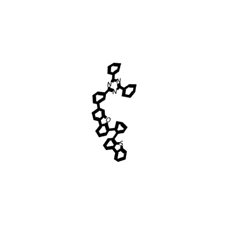 c1ccc(-c2nc(-c3ccccc3)nc(-c3cccc(-c4ccc5c(c4)oc4c(-c6ccccc6-c6cccc7c6sc6ccccc67)cccc45)c3)n2)cc1